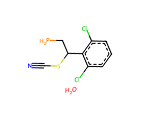 N#CSC(CP)c1c(Cl)cccc1Cl.O